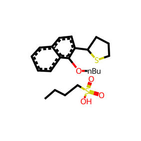 CCCCOc1c(C2CCCS2)ccc2ccccc12.CCCCS(=O)(=O)O